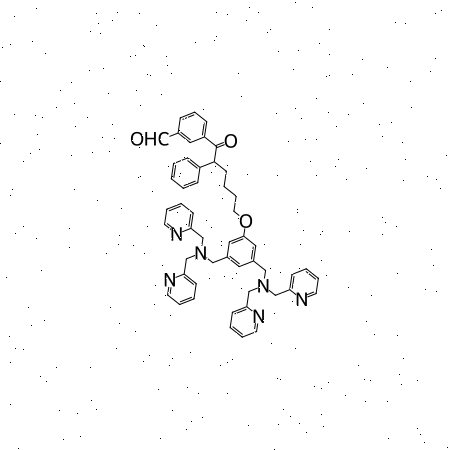 O=Cc1cccc(C(=O)C(CCCCOc2cc(CN(Cc3ccccn3)Cc3ccccn3)cc(CN(Cc3ccccn3)Cc3ccccn3)c2)c2ccccc2)c1